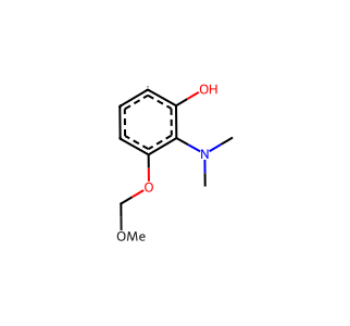 COCOc1cc[c]c(O)c1N(C)C